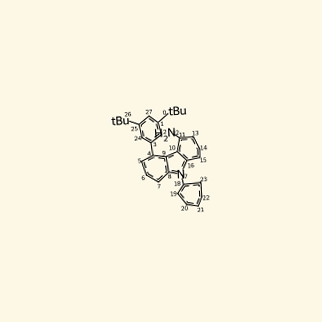 CC(C)(C)c1cc(-c2cccc3c2c2c(N)cccc2n3-c2ccccc2)cc(C(C)(C)C)c1